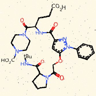 CC(C)(C)NC(=O)C1CCCN1C(=O)COc1cc(C(=O)NC(CCC(=O)O)C(=O)N2CCN(C(=O)O)CC2)nn1-c1ccccc1